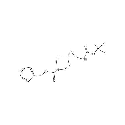 CC(C)(C)OC(=O)NC1CC12CCN(C(=O)OCc1ccccc1)CC2